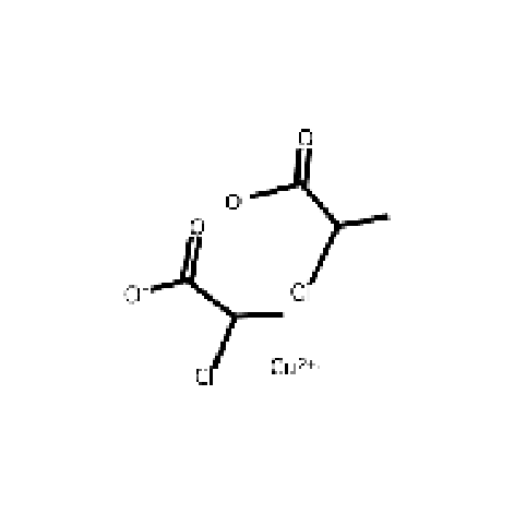 CC(Cl)C(=O)[O-].CC(Cl)C(=O)[O-].[Cu+2]